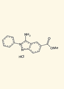 COC(=O)c1ccc2nn(-c3ccccc3)c(N)c2c1.Cl